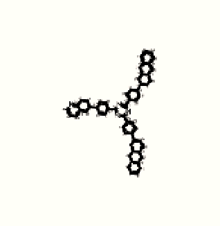 c1ccc2cc3cc(-c4ccc(-c5nc(-c6ccc(-c7ccc8cc9ccccc9cc8c7)cc6)nc(-c6ccc(-c7ccc8ncccc8c7)cc6)n5)cc4)ccc3cc2c1